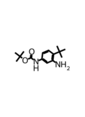 CC(C)(C)OC(=O)Nc1ccc(C(C)(C)C)c(N)c1